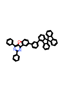 c1ccc(-c2nc(-c3ccccc3)c3oc4ccc(-c5cccc(-c6cccc7c6-c6ccccc6C76c7ccccc7-c7ccccc76)c5)cc4c3n2)cc1